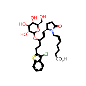 O=C(O)CCC/C=C\CN1C(=O)CC[C@@H]1/C=C/C(CCc1sc2ccccc2c1Cl)OC1O[C@H](CO)[C@@H](O)[C@H](O)[C@H]1O